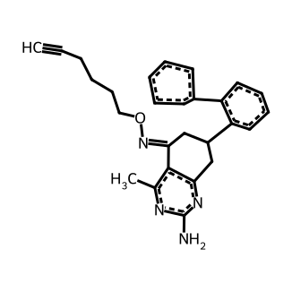 C#CCCCCO/N=C1\CC(c2ccccc2-c2ccccc2)Cc2nc(N)nc(C)c21